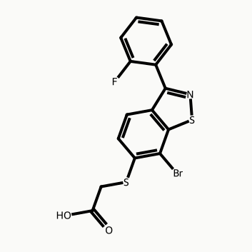 O=C(O)CSc1ccc2c(-c3ccccc3F)nsc2c1Br